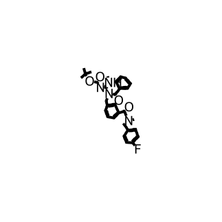 CNC(=NC(=O)OC(C)(C)C)N(Cc1cccc(C(=O)N(C)Cc2ccc(F)cc2)c1)C(=O)c1ccccc1